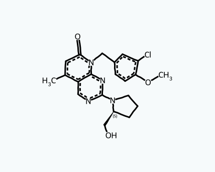 COc1ccc(Cn2c(=O)cc(C)c3cnc(N4CCC[C@H]4CO)nc32)cc1Cl